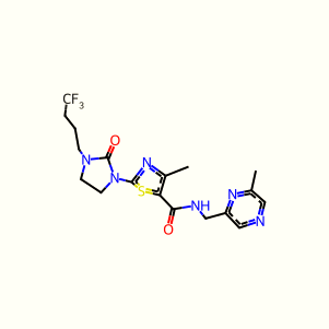 Cc1cncc(CNC(=O)c2sc(N3CCN(CCCC(F)(F)F)C3=O)nc2C)n1